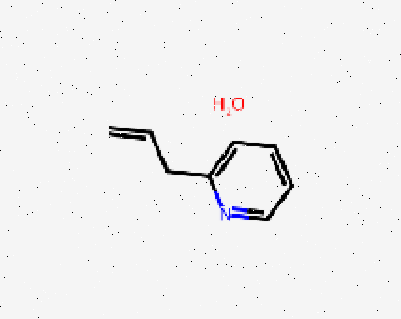 C=CCc1ccccn1.O